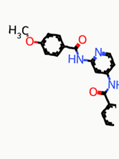 COc1ccc(C(=O)Nc2cc(NC(=O)c3ccccc3)ccn2)cc1